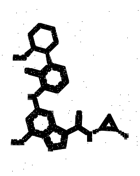 CNc1cc(Nc2cccn([C@@H]3CCCC[C@@H]3OC)c2=O)nc2c(C(=O)N[C@@H]3C[C@@H]3F)cnn12